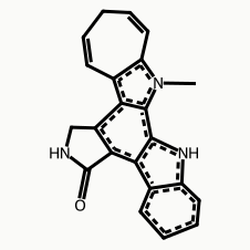 Cn1c2c(c3c4c(c5c6ccccc6[nH]c5c31)C(=O)NC4)C=CCC=C2